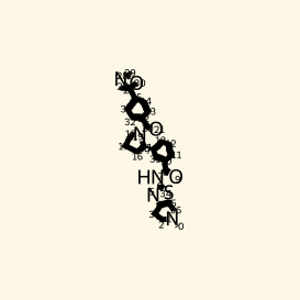 CN1CCc2nc(NC(=O)c3cccc([C@H]4CCCN4C(=O)c4ccc(-c5cnco5)cc4)c3)sc2C1